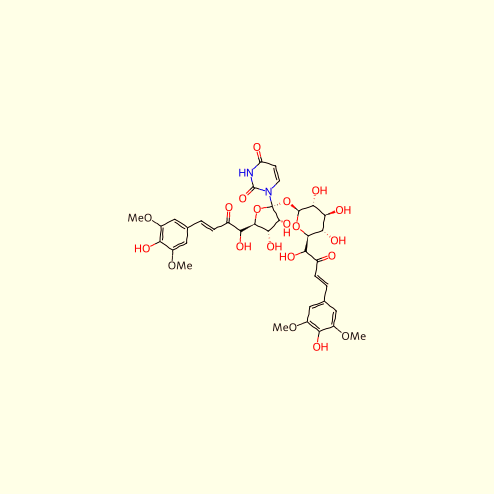 COc1cc(/C=C/C(=O)C(O)[C@H]2O[C@@](O[C@@H]3O[C@H](C(O)C(=O)/C=C/c4cc(OC)c(O)c(OC)c4)[C@@H](O)[C@H](O)[C@H]3O)(n3ccc(=O)[nH]c3=O)[C@H](O)[C@@H]2O)cc(OC)c1O